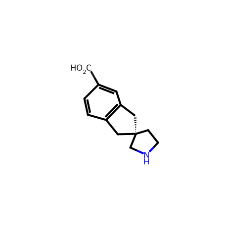 O=C(O)c1ccc2c(c1)C[C@@]1(CCNC1)C2